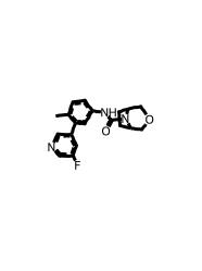 Cc1ccc(NC(=O)N2C3CCC2COC3)cc1-c1cncc(F)c1